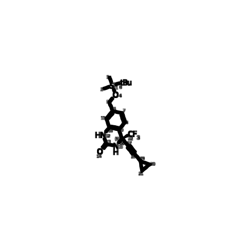 CC(C)(C)[Si](C)(C)OCc1ccc2c(c1)NC(=O)N[C@]2(C#CC1CC1)C(F)(F)F